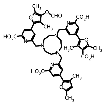 Cc1cc(C)c(-c2cc(CN3CCN(Cc4cc(-c5oc(C)c(OC=O)c5C)cc(C(=O)O)n4)CCN(Cc4cc(-c5oc(C)c(C(=O)O)c5C)cc(C(=O)O)n4)CC3)nc(C(=O)O)c2)o1